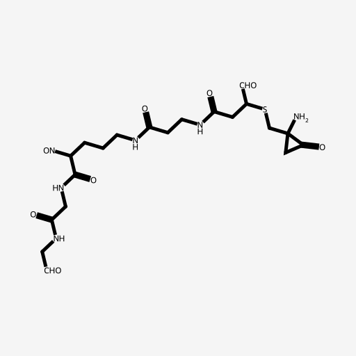 NC1(CSC(C=O)CC(=O)NCCC(=O)NCCCC(N=O)C(=O)NCC(=O)NCC=O)CC1=O